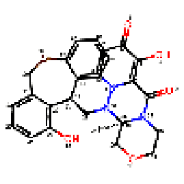 O=C1c2c(O)c(=O)ccn2N(C[C@@H]2c3ccccc3SCc3cccc(O)c32)[C@@H]2COCCN12